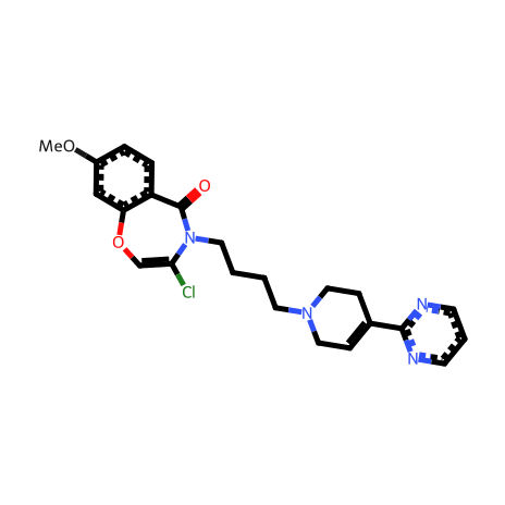 COc1ccc2c(c1)OC=C(Cl)N(CCCCN1CC=C(c3ncccn3)CC1)C2=O